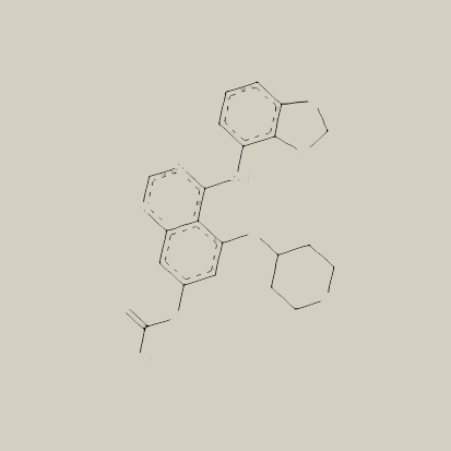 CC(=O)Oc1cc(OC2CCOCC2)c2c(Nc3cccc4c3OCO4)ncnc2c1